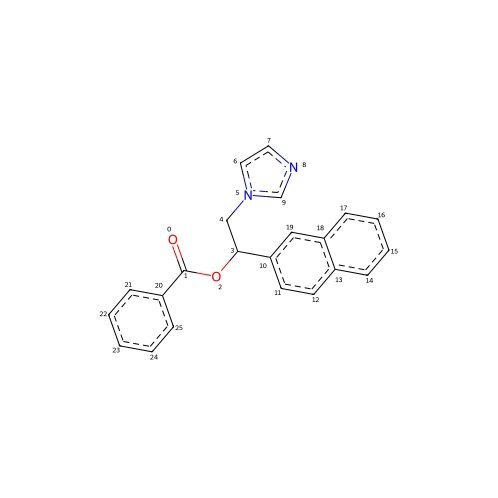 O=C(OC(Cn1ccnc1)c1ccc2ccccc2c1)c1ccccc1